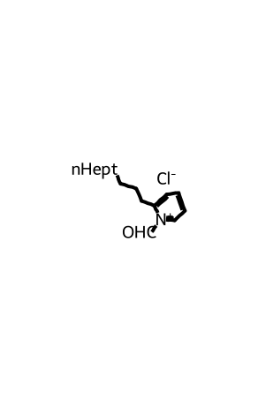 CCCCCCCCCCc1cccc[n+]1C=O.[Cl-]